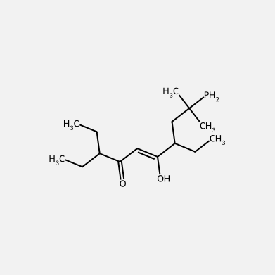 CCC(CC)C(=O)/C=C(\O)C(CC)CC(C)(C)P